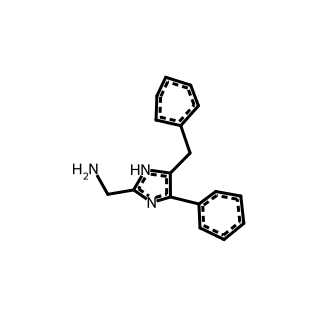 NCc1nc(-c2ccccc2)c(Cc2ccccc2)[nH]1